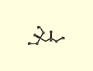 CC(C)O[PH](=O)CP(=O)(OC(C)C)OC(C)C